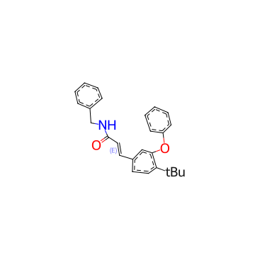 CC(C)(C)c1ccc(/C=C/C(=O)NCc2ccccc2)cc1Oc1ccccc1